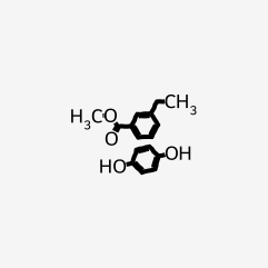 CCc1cccc(C(=O)OC)c1.Oc1ccc(O)cc1